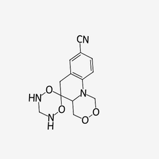 N#Cc1ccc2c(c1)CC1(ONCNO1)C1COOCN21